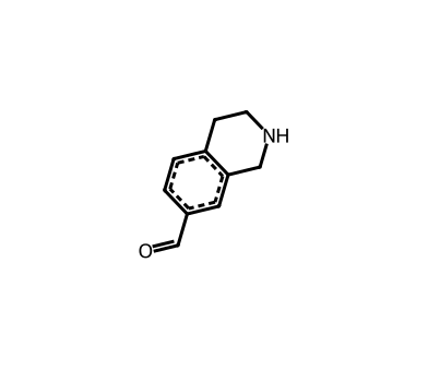 O=Cc1ccc2c(c1)CNCC2